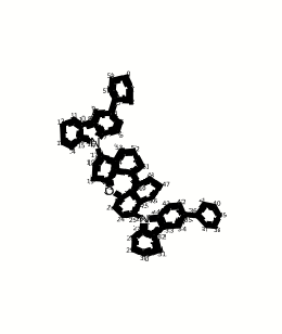 c1ccc(-c2ccc3c(c2)c2ccccc2n3-c2ccc3oc4ccc(-n5c6ccccc6c6cc(-c7ccccc7)ccc65)c5cccc(c6cccc2c36)c45)cc1